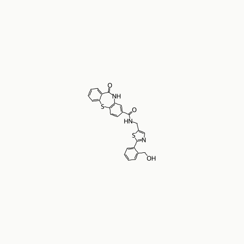 O=C(NCc1cnc(-c2ccccc2CO)s1)c1ccc2c(c1)NC(=O)c1ccccc1S2